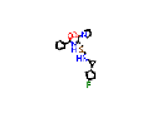 O=C(N[C@@H](CSCNC1C[C@H]1c1ccc(F)cc1)C(=O)N1CCCC1)c1ccccc1